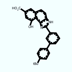 CC(C)(C)c1ccc(-c2cccc(-c3nc4c(ccc5cc(C(=O)O)cc(O)c54)[nH]3)c2)cc1